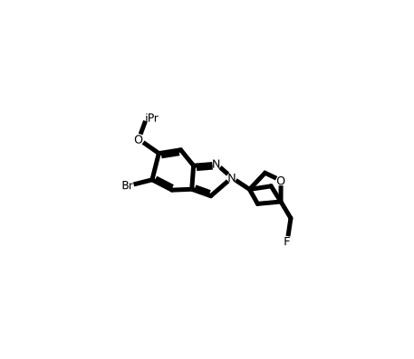 CC(C)Oc1cc2nn(C34COC(CF)(C3)C4)cc2cc1Br